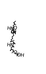 C=C(/C=C(\C)OCC(C)(C)O)CC(=C)NC(=C)SC(=C)CCCCc1ccc(NC(=O)C/C(C)=C/C)nn1